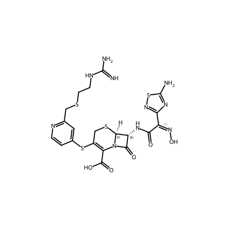 N=C(N)NCCSCc1cc(SC2=C(C(=O)O)N3C(=O)[C@@H](NC(=O)/C(=N\O)c4nsc(N)n4)[C@@H]3SC2)ccn1